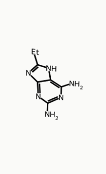 CCc1nc2nc(N)nc(N)c2[nH]1